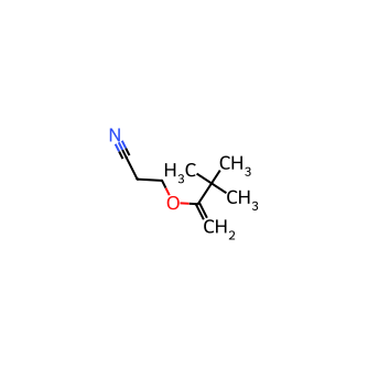 C=C(OCCC#N)C(C)(C)C